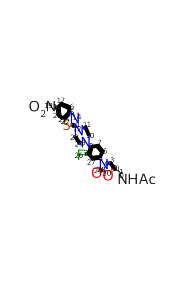 CC(=O)NC[C@H]1CN(c2ccc(N3CCN(c4nc5ccc([N+](=O)[O-])cc5s4)CC3)c(F)c2)C(=O)O1